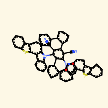 N#Cc1c(-c2ccccc2-c2ccccc2)c(C#N)c(-n2c3ccccc3c3c4sc5ccccc5c4ccc32)c(-c2ccccc2-c2ccccc2)c1-n1c2ccccc2c2c3sc4ccccc4c3ccc21